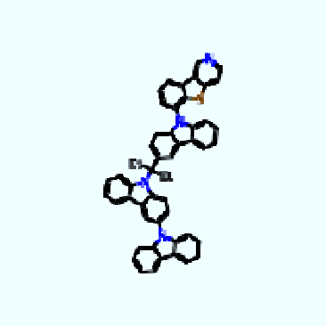 CCC(CC)(c1ccc2c(c1)c1ccccc1n2-c1cccc2c1sc1ccncc12)n1c2ccccc2c2cc(-n3c4ccccc4c4ccccc43)ccc21